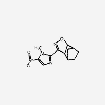 Cn1c([N+](=O)[O-])cnc1C1=NOC2C3CCC(C3)C12